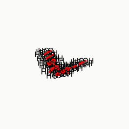 O=C[C@@H](O)[C@H](O)[C@H](O)CO.O=C[C@H](O)[C@@H](O)[C@@H](O)[C@H](O)CO.O=C[C@H](O)[C@@H](O)[C@H](O)[C@H](O)CO.OC1OC[C@@H](O)[C@H](O)[C@H]1O.OC[C@@H](O)[C@@H](O)[C@H](O)[C@H](O)CO.OC[C@H]1O[C@@](CO)(O[C@H]2O[C@H](CO)[C@@H](O)[C@H](O)[C@H]2O)[C@@H](O)[C@@H]1O.OC[C@H]1O[C@H](O[C@H]2O[C@H](CO)[C@@H](O)[C@H](O)[C@H]2O)[C@H](O)[C@@H](O)[C@@H]1O.OC[C@H]1O[C@H](O[C@H]2[C@H](O)[C@@H](O)[C@H](O)O[C@@H]2CO)[C@H](O)[C@@H](O)[C@@H]1O